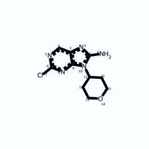 Nc1nc2cnc(Cl)nc2n1C1CCOCC1